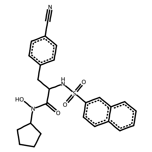 N#Cc1ccc(CC(NS(=O)(=O)c2ccc3ccccc3c2)C(=O)N(O)C2CCCC2)cc1